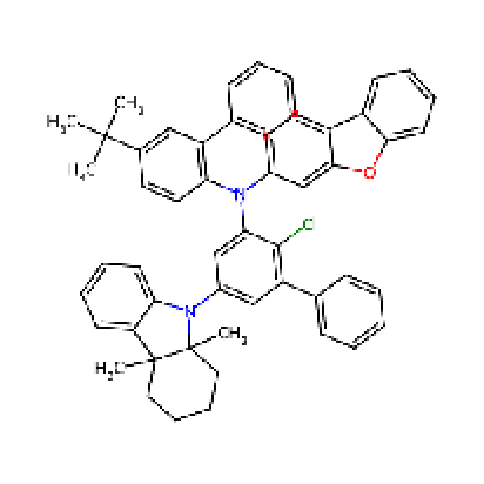 CC(C)(C)c1ccc(N(c2ccc3c(c2)oc2ccccc23)c2cc(N3c4ccccc4C4(C)CCCCC34C)cc(-c3ccccc3)c2Cl)c(-c2ccccc2)c1